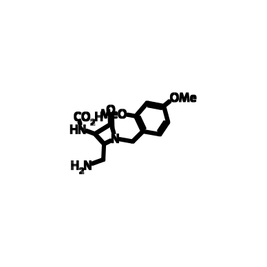 COc1ccc(CN2C(=O)C(NC(=O)O)C2CN)c(OC)c1